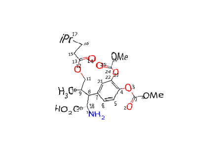 COC(=O)Oc1ccc(C(C(C)COC(=O)CCC(C)C)[C@H](N)C(=O)O)cc1OC(=O)OC